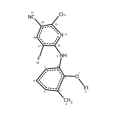 CCOc1c(C)cccc1Nc1nc(Cl)c(C#N)cc1F